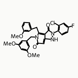 COc1cccc(Cc2c3c(=O)n(-c4ccc(F)cc4Cl)[nH]c3cc(=O)n2Cc2cc(OC)cc(OC)c2)c1